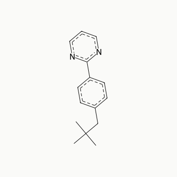 CC(C)(C)Cc1ccc(-c2ncccn2)cc1